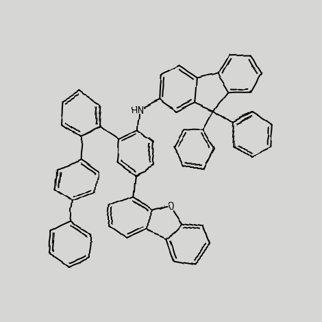 c1ccc(-c2ccc(-c3ccccc3-c3cc(-c4cccc5c4oc4ccccc45)ccc3Nc3ccc4c(c3)C(c3ccccc3)(c3ccccc3)c3ccccc3-4)cc2)cc1